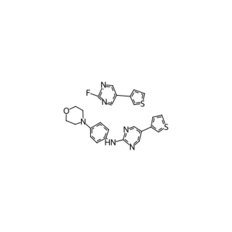 Fc1ncc(-c2ccsc2)cn1.c1cc(-c2cnc(Nc3ccc(N4CCOCC4)cc3)nc2)cs1